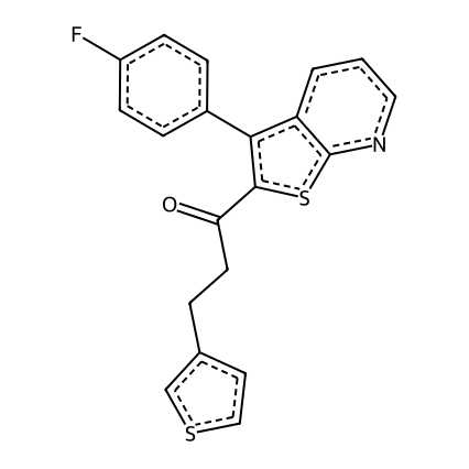 O=C(CCc1ccsc1)c1sc2ncccc2c1-c1ccc(F)cc1